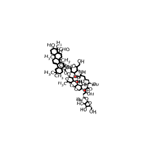 CC[C@H](C)[C@H](C[C@H](O)CC(=O)N[C@H]1C(CO)O[C@@H](OC(=O)[C@]23CCC(C)(C)CC2C2=CCC4C5(C)CC[C@H](O)[C@](C)(C=O)[C@@H]5CCC4(C)[C@]2(C)CC3O)C(O[C@@H]2OC(C)[C@H](O[C@@H]3OC[C@@H](O)C(O)C3O)C(O)C2O)C1O)NC(=O)C[C@@H](O)C[C@H](O[C@@H]1O[C@@H](CO)C(O)C1O)[C@@H](C)CC